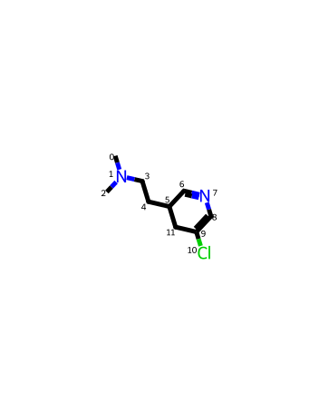 CN(C)CCC1C=NC=C(Cl)C1